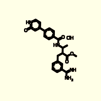 COC(=O)C(Cc1cccc(C(=N)N)c1)C(C)NC(=O)c1ccc(-c2cc[nH]c(=O)c2)cc1.Cl